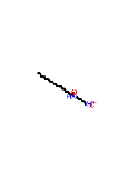 CCCCCCCCCCCCCCCCCC(=O)NCCCCCC[N+](C)(C)[O-]